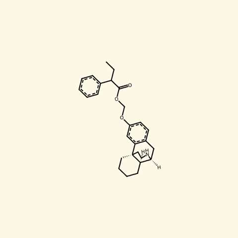 CCC(C(=O)OCOc1ccc2c(c1)[C@]13CCCC[C@@H]1[C@H](C2)NCC3)c1ccccc1